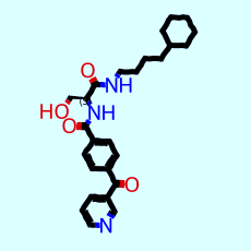 O=C(N[C@@H](CO)C(=O)NCCCCC1CCCCC1)c1ccc(C(=O)c2cccnc2)cc1